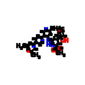 CC(=O)Nc1cc(Nc2cc(C3(O)CCOC3)cc(S(C)(=O)=O)n2)c(-c2ccc(N3CC(C)OC(C)C3)cn2)cn1